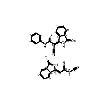 N#C/C(C(=S)Nc1ccccc1)=C1\NC(=O)c2ccccc21.N#CNC(=S)/C=C1\NC(=O)c2ccccc21